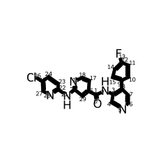 O=C(Nc1cnccc1-c1ccc(F)cc1)c1ccnc(Nc2ccc(Cl)cn2)c1